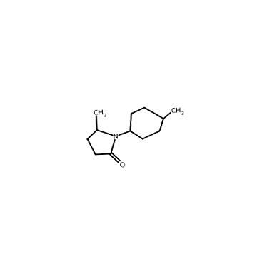 CC1CCC(N2C(=O)CCC2C)CC1